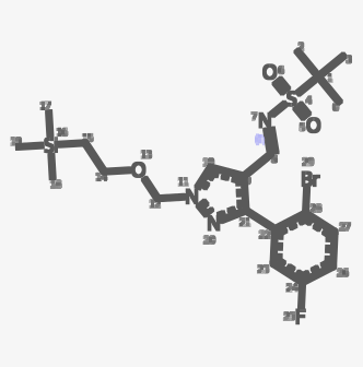 CC(C)(C)S(=O)(=O)/N=C/c1cn(COCC[Si](C)(C)C)nc1-c1cc(F)ccc1Br